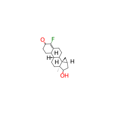 C[C@]12CC[C@H]3[C@@H](CCC4=C(F)C(=O)CC[C@@H]43)[C@@]13C[C@H]3C[C@H]2O